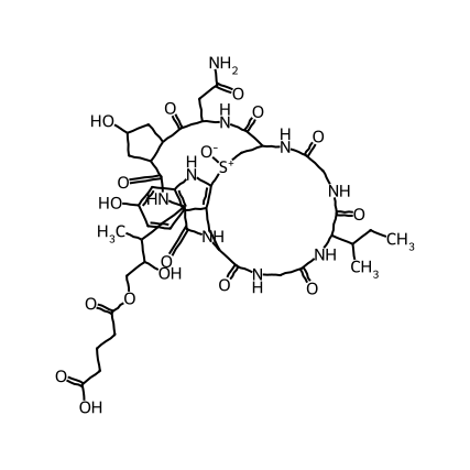 CCC(C)C1NC(=O)CNC(=O)C2Cc3c([nH]c4cc(O)ccc34)[S+]([O-])CC(NC(=O)CNC1=O)C(=O)NC(CC(N)=O)C(=O)C1CC(O)CC1C(=O)NC(C(C)C(O)COC(=O)CCCC(=O)O)C(=O)N2